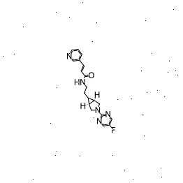 O=C(/C=C/c1cccnc1)NCCC1[C@H]2CN(c3ncc(F)cn3)C[C@@H]12